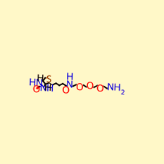 NCCOCCOCCOCCNC(=O)CCCC[C@@H]1SC[C@@H]2NC(=O)N[C@@H]21